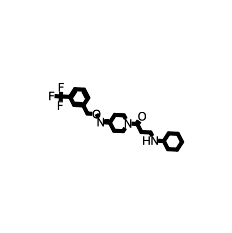 O=C(CCNC1CCCCC1)N1CCC(=NOCc2cccc(C(F)(F)F)c2)CC1